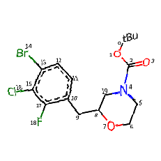 CC(C)(C)OC(=O)N1CCOC(Cc2ccc(Br)c(Cl)c2F)C1